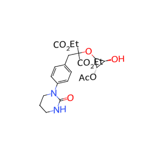 CCOC(=O)C(Cc1ccc(N2CCCNC2=O)cc1)(OC1[C@@H](O)[C@@H]1OC(C)=O)C(=O)OCC